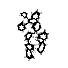 c1ccc(-c2c(-c3ccccc3)c3cc(N(c4cccc(-c5ccc6ccccc6c5)c4)c4cccc5c4oc4ccccc45)ccc3c3ccccc23)cc1